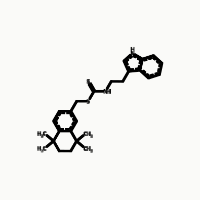 CC1(C)CCC(C)(C)c2cc(CSC(=S)NCCc3c[nH]c4ccccc34)ccc21